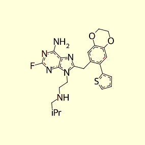 CC(C)CNCCn1c(Cc2cc3c(cc2-c2cccs2)OCCO3)nc2c(N)nc(F)nc21